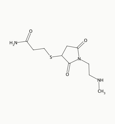 CNCCN1C(=O)CC(SCCC(N)=O)C1=O